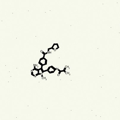 C=C(C)C(=O)Nc1ccc(-c2c(-c3ccc(C(=O)NCC4CCCO4)cc3)c3c(N)ncnc3n2C)cc1